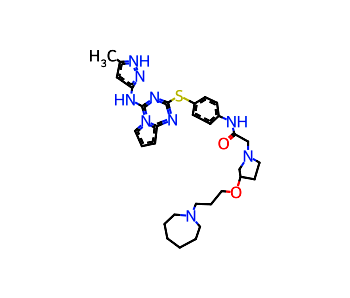 Cc1cc(Nc2nc(Sc3ccc(NC(=O)CN4CCC(OCCCN5CCCCCC5)C4)cc3)nc3cccn23)n[nH]1